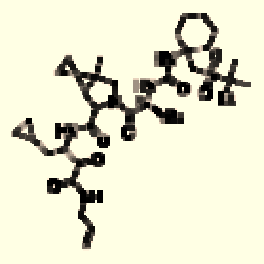 C=CCNC(=O)C(=O)C(CC1CC1)NC(=O)C1C2C(C)(CN1C(=O)[C@@H](NC(=O)NC1(CS(=O)(=O)C(C)(C)CC)CCCCC1)C(C)(C)C)C21CC1